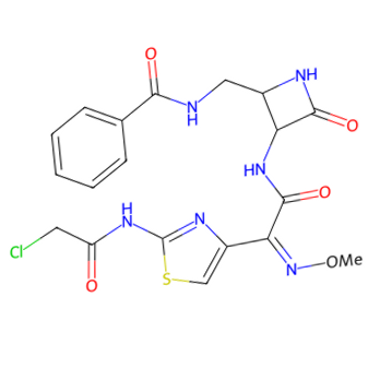 CO/N=C(\C(=O)NC1C(=O)NC1CNC(=O)c1ccccc1)c1csc(NC(=O)CCl)n1